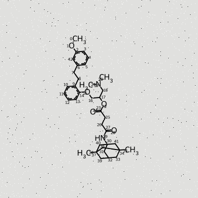 COc1cccc(CCc2ccccc2OCC(CN(C)C)OC(=O)CCC(=O)NC23CC4CC(C)(CC(C)(C4)C2)C3)c1